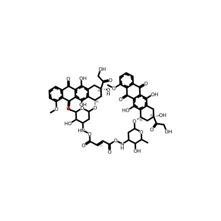 COc1cccc2c1C(=O)c1c(O)c3c(c(O)c1C2=O)C[C@@](O)(C(=O)CO)C[C@@H]3OC1CC(NOC(=O)/C=C/C(=O)ONC2CC(O[C@H]3C[C@](O)(C(=O)CO)Cc4c(O)c5c(c(O)c43)C(=O)c3c(OC)cccc3C5=O)OC(C)C2O)C(O)C(C)O1